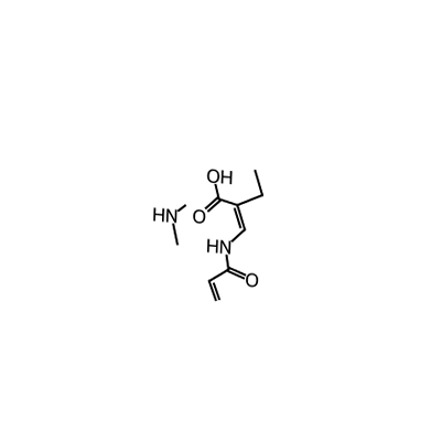 C=CC(=O)NC=C(CC)C(=O)O.CNC